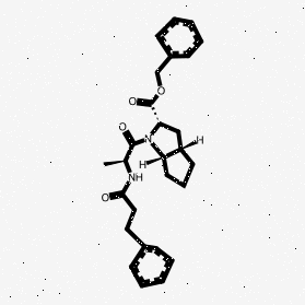 C[C@H](NC(=O)CCc1ccccc1)C(=O)N1[C@H](C(=O)OCc2ccccc2)C[C@@H]2CCC[C@@H]21